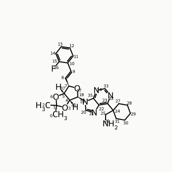 CC1(C)O[C@@H]2[C@H](O1)[C@@H](C=Cc1ccccc1F)O[C@H]2n1cnc2c(C3(CN)CCCCC3)ncnc21